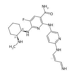 CN[C@H]1CCCC[C@H]1Nc1nc(Nc2ccc(N/C=C\C=N)nc2)c(C(N)=O)cc1F